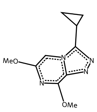 COc1cn2c(C3CC3)nnc2c(OC)n1